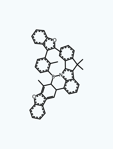 CC1=c2oc3ccccc3c2=CC2c3cccc4c5c(n(c34)B(c3cccc(-c4c(C)oc6ccccc46)c3C)C12)-c1ccccc1C5(C)C